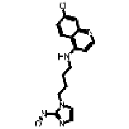 O=Nc1nccn1CCCCNc1ccnc2cc(Cl)ccc12